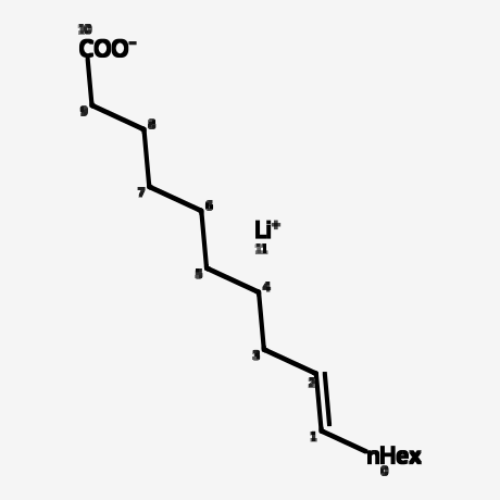 CCCCCCC=CCCCCCCCC(=O)[O-].[Li+]